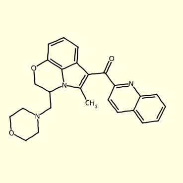 Cc1c(C(=O)c2ccc3ccccc3n2)c2cccc3c2n1C(CN1CCOCC1)CO3